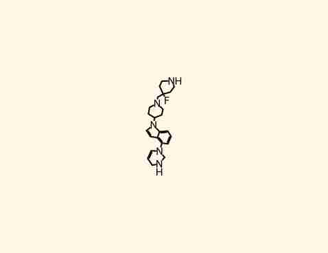 FC1(CN2CCC(n3ccc4c(N5C=CCNC5)cccc43)CC2)CCNCC1